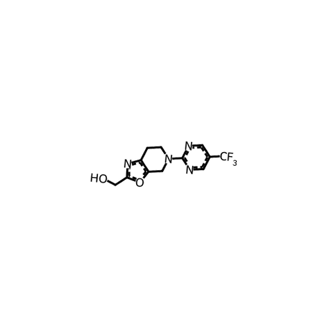 OCc1nc2c(o1)CN(c1ncc(C(F)(F)F)cn1)CC2